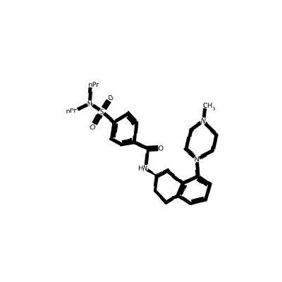 CCCN(CCC)S(=O)(=O)c1ccc(C(=O)N[C@@H]2CCc3cccc(N4CCN(C)CC4)c3C2)cc1